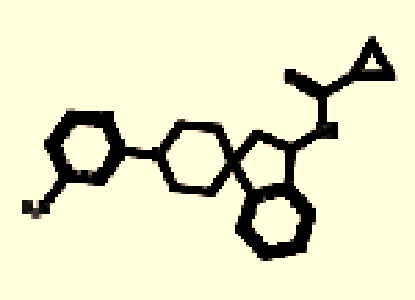 Nc1ccnc(N2CCC3(CC2)CC(NC(=O)C2CC2)c2ccccc23)c1